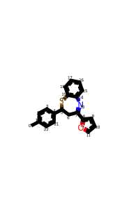 Cc1ccc(C2CC(c3ccco3)=Nc3ccccc3S2)cc1